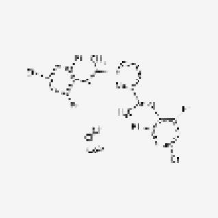 CCc1cc(CC)c(N=C(C)c2cccc(C(C)=Nc3c(CC)cc(CC)cc3CC)n2)c(CC)c1.[Cl-].[Cl-].[Co+2]